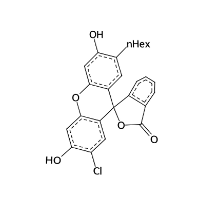 CCCCCCc1cc2c(cc1O)Oc1cc(O)c(Cl)cc1C21OC(=O)c2ccccc21